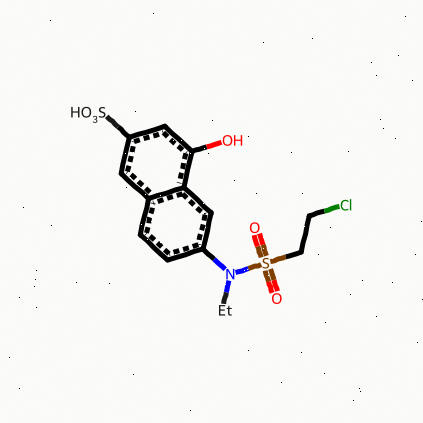 CCN(c1ccc2cc(S(=O)(=O)O)cc(O)c2c1)S(=O)(=O)CCCl